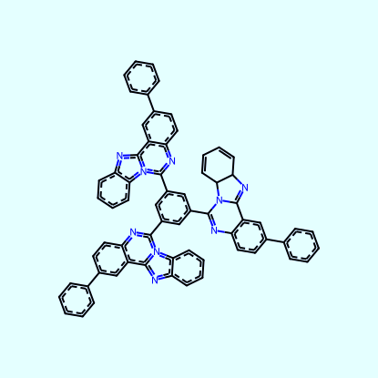 C1=CC2N=C3c4cc(-c5ccccc5)ccc4N=C(c4cc(-c5nc6ccc(-c7ccccc7)cc6c6nc7ccccc7n56)cc(-c5nc6ccc(-c7ccccc7)cc6c6nc7ccccc7n56)c4)N3C2C=C1